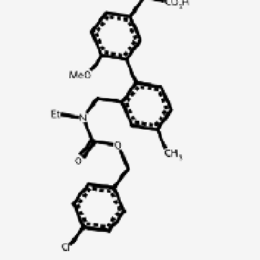 CCN(Cc1cc(C)ccc1-c1cc(CC(=O)O)ccc1OC)C(=O)OCc1ccc(Cl)cc1